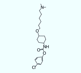 CN(C)CCCCCCOC1CCC(NC(=O)Oc2ccc(Cl)cc2)CC1